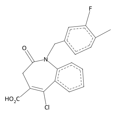 Cc1ccc(CN2C(=O)CC(C(=O)O)=C(Cl)c3ccccc32)cc1F